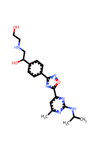 Cc1cc(-c2nc(-c3ccc(C(O)CNCCO)cc3)no2)nc(NC(C)C)n1